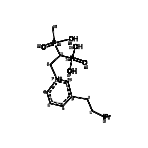 CC(C)CCc1ccc[n+](CC(P(C)(=O)O)P(=O)(O)O)c1